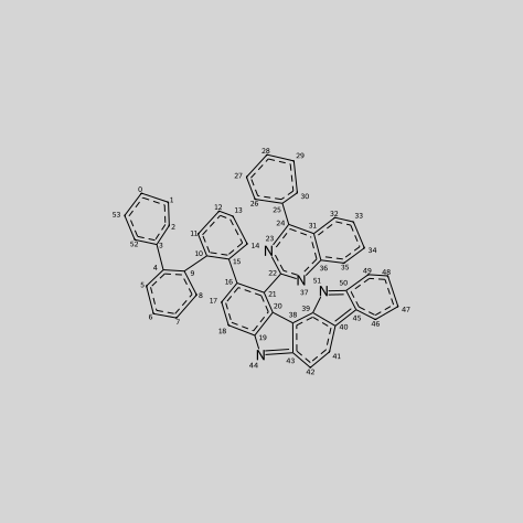 c1ccc(-c2ccccc2-c2ccccc2-c2ccc3c(c2-c2nc(-c4ccccc4)c4ccccc4n2)-c2c4c(ccc2=N3)=c2ccccc2=N4)cc1